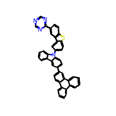 c1ccc2c(c1)c1ccccc1c1cc(-c3ccc4c(c3)c3ccccc3n4-c3ccc4sc5ccc(-c6ncncn6)cc5c4c3)ccc21